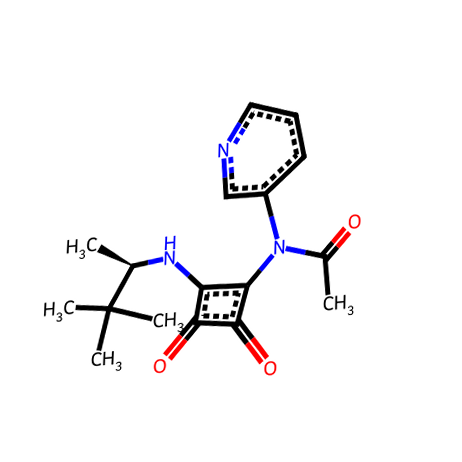 CC(=O)N(c1cccnc1)c1c(N[C@H](C)C(C)(C)C)c(=O)c1=O